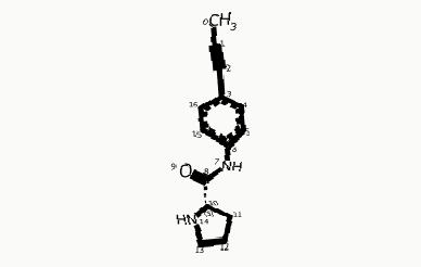 CC#Cc1ccc(NC(=O)[C@@H]2CCCN2)cc1